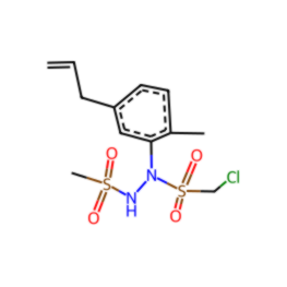 C=CCc1ccc(C)c(N(NS(C)(=O)=O)S(=O)(=O)CCl)c1